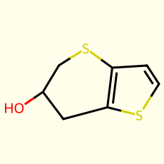 OC1CSc2ccsc2C1